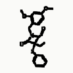 CCC1(Sc2ccccc2)C(=O)N(Cc2ccc(OC)cc2OC)C1C=O